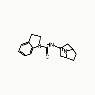 CCN1C2CCC1CC(NC(=O)N1CCc3ccccc31)C2